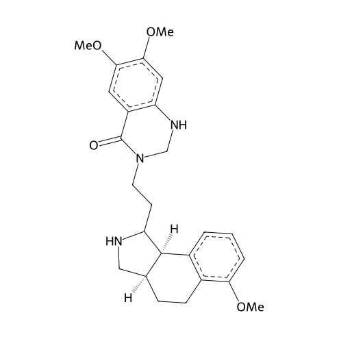 COc1cc2c(cc1OC)C(=O)N(CCC1NC[C@@H]3CCc4c(OC)cccc4[C@H]13)CN2